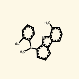 Cc1cccc2c1oc1c(N(C)c3ccccc3C(C)(C)C)cccc12